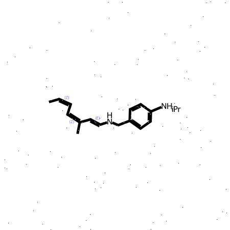 C\C=C/C=C(C)\C=C\NCc1ccc(NC(C)C)cc1